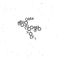 CCCCOc1ccc(C2(c3ccc(OC)cc3)C=Cc3c4c(c5cc(NC(=O)c6ccccc6)ccc5c3O2)-c2ccc(C(F)(F)F)cc2C4(C)C)cc1